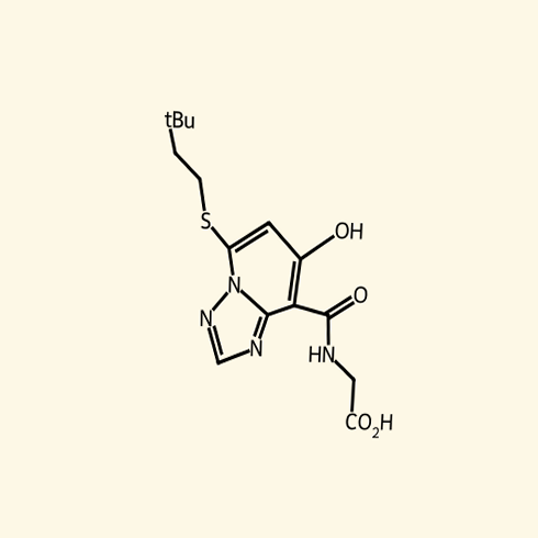 CC(C)(C)CCSc1cc(O)c(C(=O)NCC(=O)O)c2ncnn12